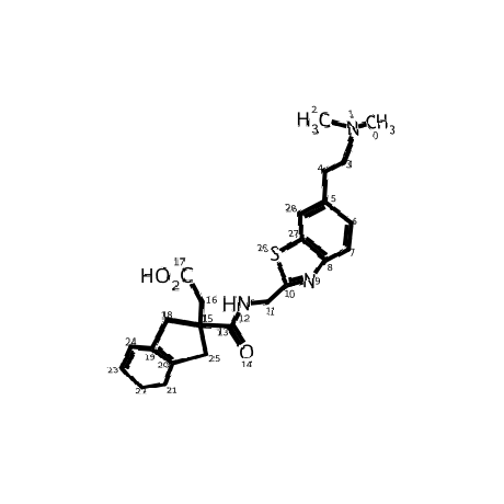 CN(C)CCc1ccc2nc(CNC(=O)C3(CC(=O)O)CC4=C(CCC=C4)C3)sc2c1